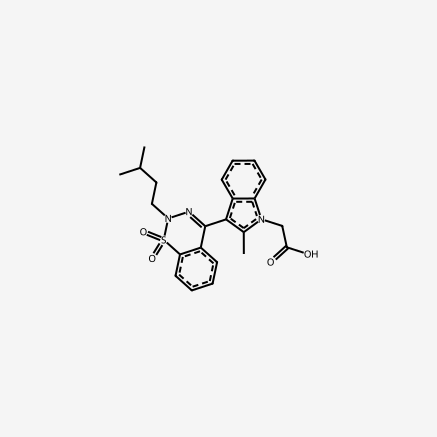 Cc1c(C2=NN(CCC(C)C)S(=O)(=O)c3ccccc32)c2ccccc2n1CC(=O)O